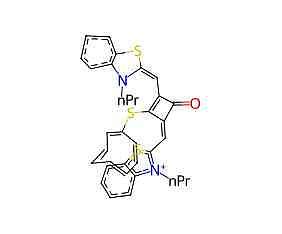 CCCN1/C(=C\C2=C(SC3=C/C=C/C=C/C=C\3)C(=C\c3sc4ccccc4[n+]3CCC)/C2=O)Sc2ccccc21